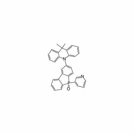 CC1(C)c2ccccc2N(c2ccc3c(c2)-c2ccccc2P3(=O)c2cccnc2)c2ccccc21